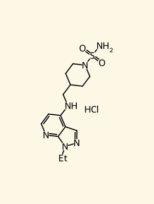 CCn1ncc2c(NCC3CCN(S(N)(=O)=O)CC3)ccnc21.Cl